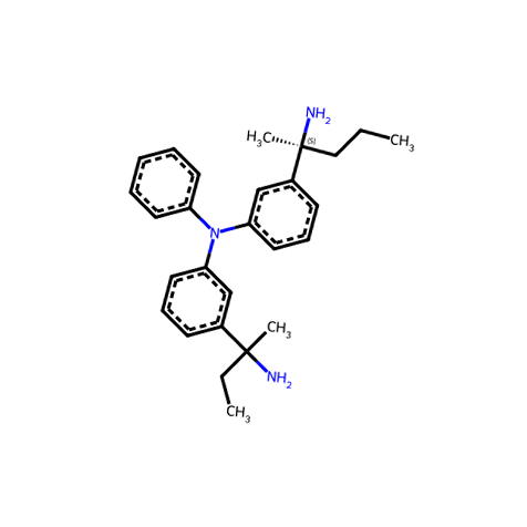 CCC[C@](C)(N)c1cccc(N(c2ccccc2)c2cccc(C(C)(N)CC)c2)c1